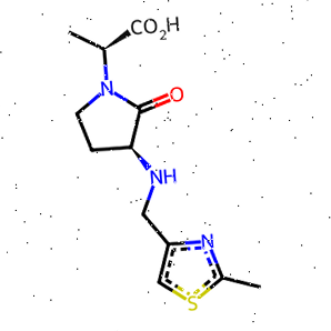 Cc1nc(CN[C@H]2CCN([C@@H](C)C(=O)O)C2=O)cs1